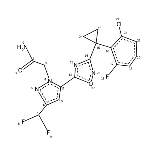 NC(=O)Cn1nc(C(F)F)cc1-c1nc(C2(c3c(F)cccc3Cl)CC2)no1